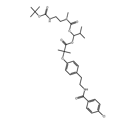 CC(C)C(OC(=O)N(C)CCNC(=O)OC(C)(C)C)OC(=O)C(C)(C)Oc1ccc(CCNC(=O)c2ccc(Cl)cc2)cc1